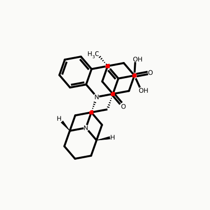 C[C@@H]1CCC[C@H](CCN2[C@@H]3CCC[C@H]2C[C@@H](n2c(=O)c(P(=O)(O)O)nc4ccccc42)C3)C1